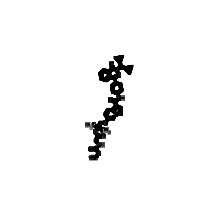 CC(C)(C)OC(=O)NCC(=O)OC(C)(C)COc1ccc2c(C(=O)N[C@H]3CC[C@H](c4nn(C(C5CC5)C5CC5)c(=O)c5ccccc54)CC3)cnn2c1